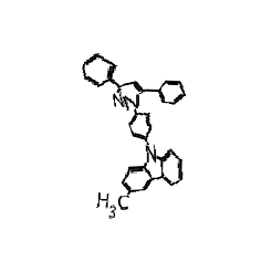 Cc1ccc2c(c1)c1ccccc1n2-c1ccc(-n2nc(-c3ccccc3)cc2-c2ccccc2)cc1